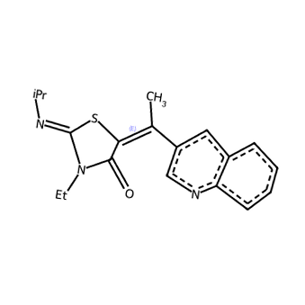 CCN1C(=O)/C(=C(/C)c2cnc3ccccc3c2)SC1=NC(C)C